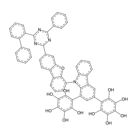 Oc1c(O)c(O)c(-c2cc(-c3c(O)c(O)c(O)c(O)c3O)c3c(c2)c2ccccc2n3-c2cccc3c2oc2cc(-c4nc(-c5ccccc5)nc(-c5ccccc5-c5ccccc5)n4)ccc23)c(O)c1O